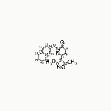 Cc1noc(C)c1-c1ccc(=O)n(Cc2ccc3ccccc3c2)n1